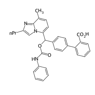 CCCc1cn2c(C(OC(=O)Nc3ccccc3)c3ccc(-c4ccccc4C(=O)O)cc3)ccc(C)c2n1